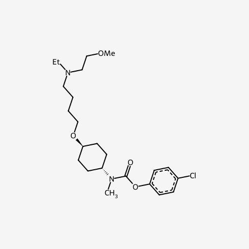 CCN(CCCCO[C@H]1CC[C@H](N(C)C(=O)Oc2ccc(Cl)cc2)CC1)CCOC